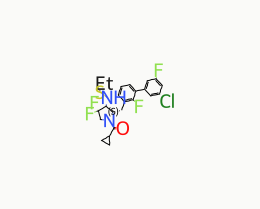 CCSNC1[C@H](Cc2cccc(-c3cc(F)cc(Cl)c3)c2F)N(C(=O)C2CC2)CC1(F)F